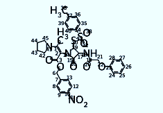 C/C(=C(/C(=O)OCc1ccc([N+](=O)[O-])cc1)N1C(=O)C(NC(=O)COc2ccccc2)C1SS(=O)(=O)c1ccc(C)cc1)N1CCCC1